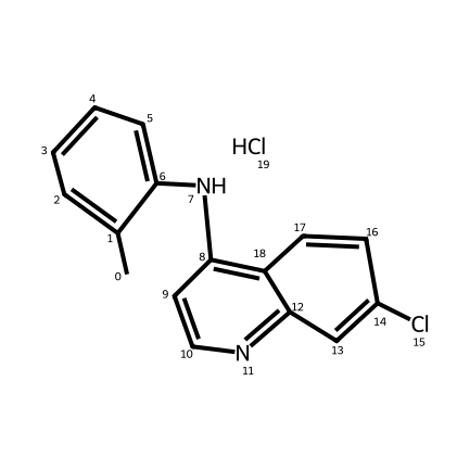 Cc1ccccc1Nc1ccnc2cc(Cl)ccc12.Cl